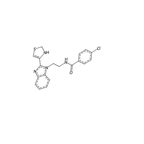 O=C(NCCn1c(C2=CSCN2)nc2ccccc21)c1ccc(Cl)cc1